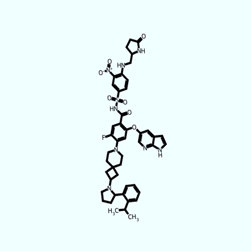 CC(C)c1ccccc1C1CCCN1C1CC2(CCN(c3cc(Oc4cnc5[nH]ccc5c4)c(C(=O)NS(=O)(=O)c4ccc(NCC5CCC(=O)N5)c([N+](=O)[O-])c4)cc3F)CC2)C1